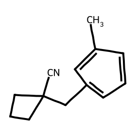 Cc1cccc(CC2(C#N)CCC2)c1